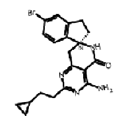 Nc1nc(CCC2CC2)nc2c1C(=O)N[C@@]1(CCc3cc(Br)ccc31)C2